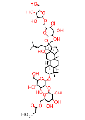 CC(C)=CCC[C@](C)(O[C@@H]1O[C@H](CO[C@@H]2O[C@@H](CO)[C@H](O)[C@H]2O)[C@@H](O)[C@H](O)[C@H]1O)[C@H]1CC[C@]2(C)[C@@H]1[C@H](O)C[C@@H]1[C@@]3(C)CC[C@H](O[C@@H]4O[C@H](CO)[C@@H](O)[C@H](O)[C@H]4O[C@@H]4O[C@H](COC(=O)CC(=O)O)[C@@H](O)[C@H](O)[C@H]4O)C(C)(C)[C@@H]3CC[C@]12C